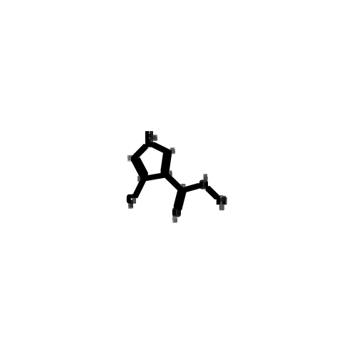 CCOC(=O)c1c[nH]cc1Cl